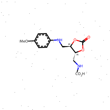 COc1ccc(NC[C@H]2OC(=O)O[C@@H]2CNC(=O)O)cc1